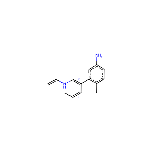 C=CN/C=C(\C=C/C)c1cc(N)ccc1C